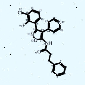 O=C(CCc1ccccc1)Nc1onc(-c2cccc(Cl)c2F)c1-c1ccncc1